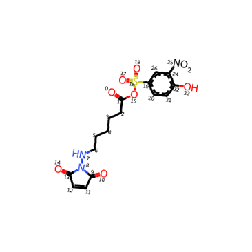 O=C(CCCCCNN1C(=O)C=CC1=O)OS(=O)(=O)c1ccc(O)c([N+](=O)[O-])c1